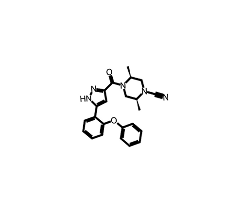 C[C@H]1CN(C(=O)c2cc(-c3ccccc3Oc3ccccc3)[nH]n2)[C@@H](C)CN1C#N